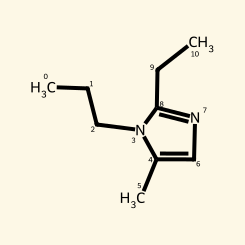 CCCn1c(C)cnc1CC